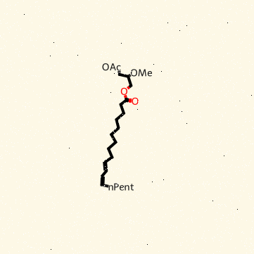 CCCCC/C=C\C=C\CCCCCCCCC(=O)OCC(COC(C)=O)OC